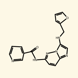 O=C(Nc1ccc2ncc(NCc3ccco3)n2n1)c1cccnc1